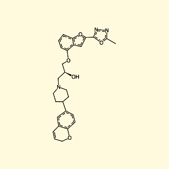 Cc1nnc(-c2cc3c(OC[C@@H](O)CN4CCC(c5ccc6c(c5)C=CCO6)CC4)cccc3o2)o1